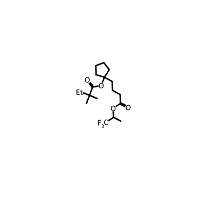 CCC(C)(C)C(=O)OC1(CCCC(=O)OC(C)C(F)(F)F)CCCC1